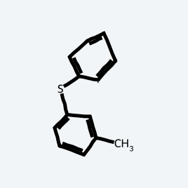 Cc1cccc(Sc2[c]cccc2)c1